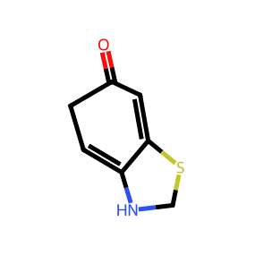 O=C1C=C2SCNC2=CC1